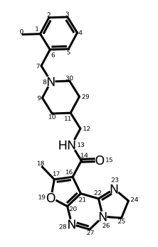 Cc1ccccc1CN1CCC(CNC(=O)c2c(C)oc3c2C2=NCCN2C=N3)CC1